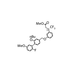 CCCCOc1cc(COc2cccc([C@H](CC(=O)OC)C(F)(F)F)c2)ccc1-c1cc(OC)ccc1F